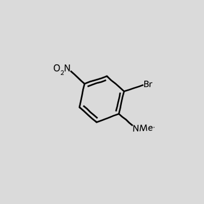 C[N]c1ccc([N+](=O)[O-])cc1Br